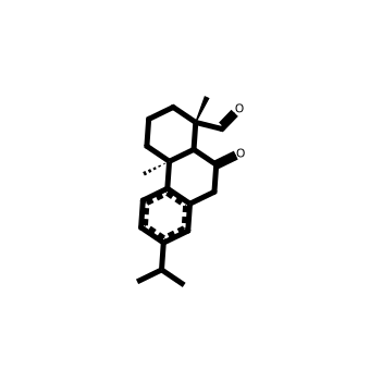 CC(C)c1ccc2c(c1)CC(=O)C1[C@@](C)(C=O)CCC[C@]21C